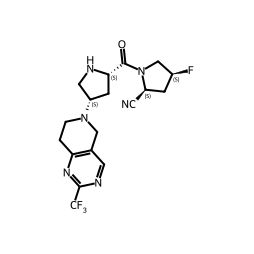 N#C[C@@H]1C[C@H](F)CN1C(=O)[C@@H]1C[C@H](N2CCc3nc(C(F)(F)F)ncc3C2)CN1